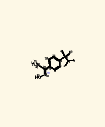 CC(C)C(C)(F)c1ccc(/C(N)=N/O)cc1